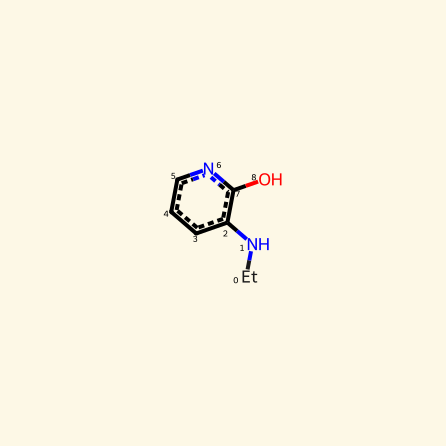 CCNc1cccnc1O